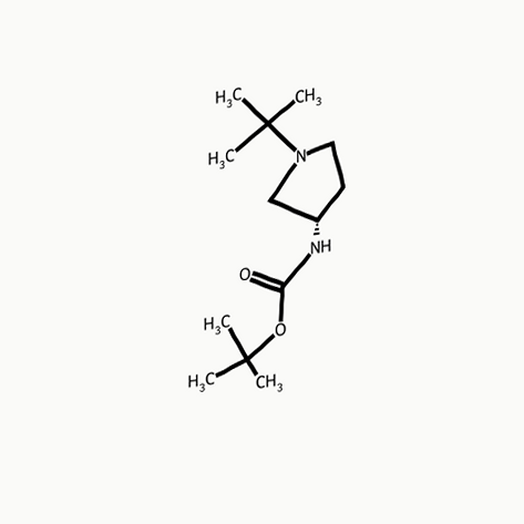 CC(C)(C)OC(=O)N[C@H]1CCN(C(C)(C)C)C1